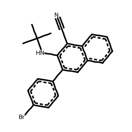 CC(C)(C)Nc1c(-c2ccc(Br)cc2)cc2ccccc2c1C#N